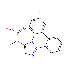 CC(C(=O)O)c1cnc2c3ccccc3c3ccccc3n12.Cl